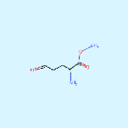 NOC(=O)C(N)CCC=O